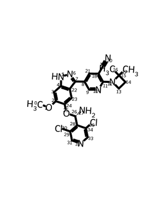 COc1cc2[nH]nc(-c3cnc(N4CCC4(C)C)c(C#N)c3)c2cc1O[C@H](N)c1c(Cl)cncc1Cl